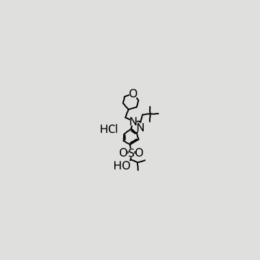 CC(C)C(O)S(=O)(=O)c1ccc2c(c1)nc(CC(C)(C)C)n2CC1CCOCC1.Cl